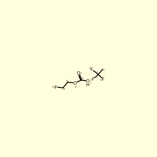 CC(F)(F)F.O=C(O)OCCF